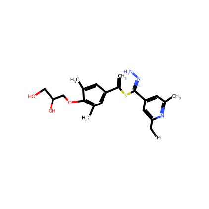 C=C(S/C(=N\N)c1cc(C)nc(CC(C)C)c1)c1cc(C)c(OCC(O)CO)c(C)c1